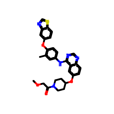 COCC(=O)N1CCC(Oc2ccc3ncnc(Nc4ccc(Oc5ccc6scnc6c5)c(C)c4)c3c2)CC1